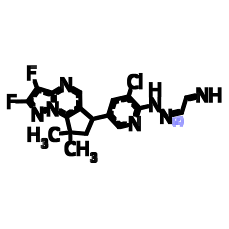 CC1(C)CC(c2cnc(N/N=C\C=N)c(Cl)c2)c2cnc3c(F)c(F)nn3c21